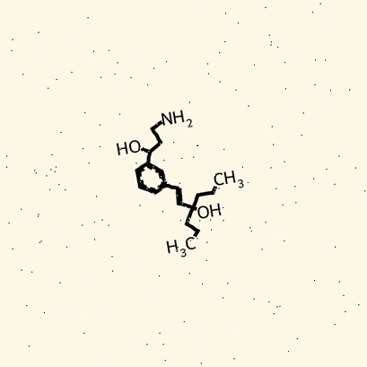 CCCC(O)(C=Cc1cccc(C(O)CCN)c1)CCC